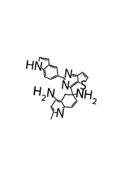 Cc1cc(N)c2c(n1)C=CC(N)(c1nc(-c3ccc4[nH]ccc4c3)nc3ccsc13)C2